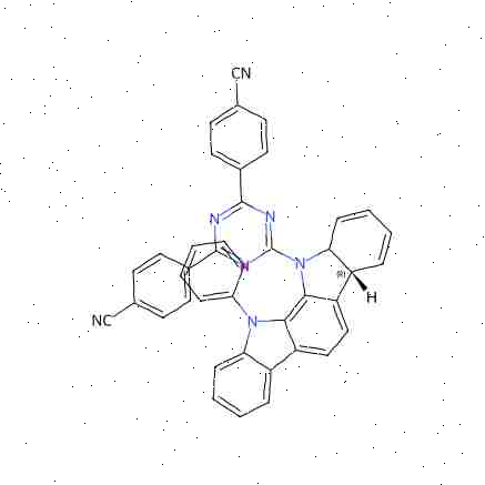 N#Cc1ccc(-c2nc(-c3ccc(C#N)cc3)nc(N3c4c(ccc5c6ccccc6n(-c6ccccc6)c45)[C@H]4C=CC=CC43)n2)cc1